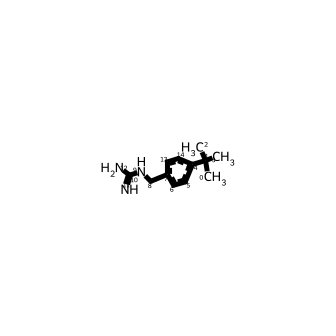 CC(C)(C)c1ccc(CNC(=N)N)cc1